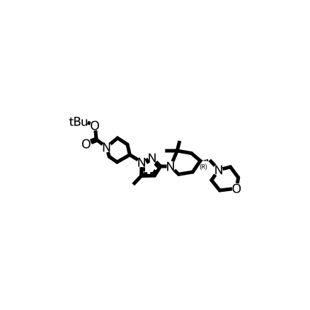 Cc1cc(N2CC[C@@H](CN3CCOCC3)CC2(C)C)nn1C1CCN(C(=O)OC(C)(C)C)CC1